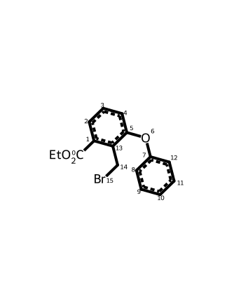 CCOC(=O)c1cccc(Oc2ccccc2)c1CBr